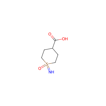 N=S1(=O)CCC(C(=O)O)CC1